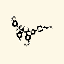 CCCN1CCN(C2CCN(C(=O)C(c3ccc(OC)cc3)n3c(=O)n(S(=O)(=O)c4ccc(OC)cc4)c4ccc(Cl)cc43)C2)CC1